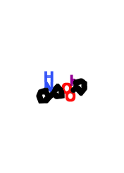 O=C(Oc1ccc2c(c1)[nH]c1ccccc12)c1ccccc1I